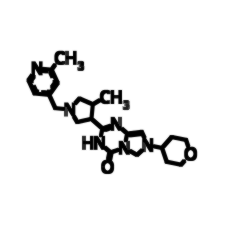 Cc1cc(CN2CC(C)C(C3=NC4=CN(C5CCOCC5)CN4C(=O)N3)C2)ccn1